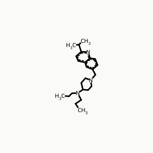 CCCN(CCC)C1CCN(Cc2ccc3nc(C(C)C)ccc3c2)CC1